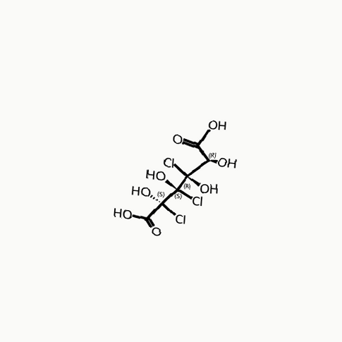 O=C(O)[C@@H](O)[C@@](O)(Cl)[C@](O)(Cl)[C@@](O)(Cl)C(=O)O